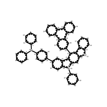 c1ccc(N(c2ccccc2)c2ccc(-c3ccc4c(c3)c3c(-c5ccc6c7ccccc7c7ccccc7c6c5)c5c(cc3n4-c3ccccc3)oc3ccccc35)cc2)cc1